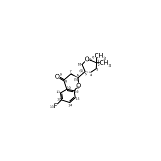 CC1(C)CC[C@H]([C@@H]2CC(=O)c3cc(F)ccc3O2)CO1